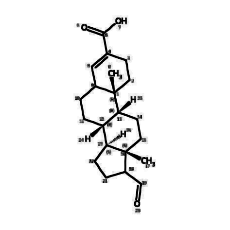 C[C@]12CCC(C(=O)O)=CC1CC[C@@H]1[C@H]2CC[C@]2(C)C(C=O)CC[C@@H]12